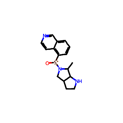 CC1C2NCCC2CN1[S+]([O-])c1cccc2cnccc12